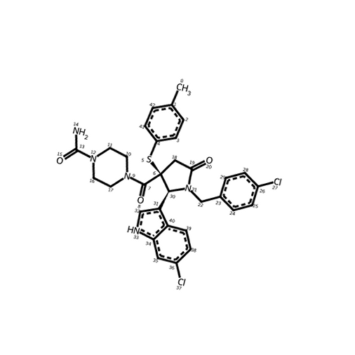 Cc1ccc(S[C@@]2(C(=O)N3CCN(C(N)=O)CC3)CC(=O)N(Cc3ccc(Cl)cc3)[C@H]2c2c[nH]c3cc(Cl)ccc23)cc1